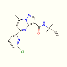 C#CC(C)(C)NC(=O)c1cnn2c(C)cc(-c3cccc(Cl)n3)nc12